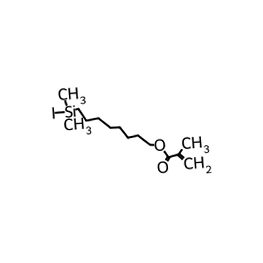 C=C(C)C(=O)OCCCCCCCC[Si](C)(C)I